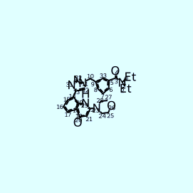 CCN(CC)C(=O)c1cccc(Cn2cc(-c3cccc4c(=O)cc(N5CCOCC5)[nH]c34)nn2)c1